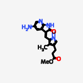 COC(=O)CCc1c[nH]c(C=C2C(=O)Nc3ncc(N)cc32)c1C